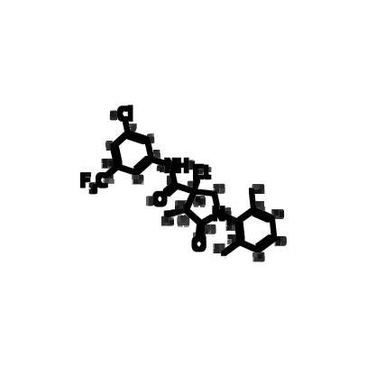 CC[C@@]1(C(=O)Nc2cc(Cl)cc(C(F)(F)F)c2)CN(c2c(C)cccc2C)C(=O)[C@H]1C